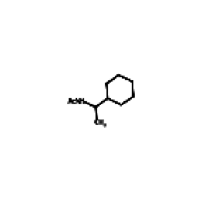 CC(=O)NC(C)C1CCCCC1